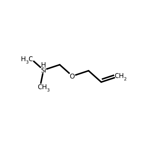 C=CCOC[SiH](C)C